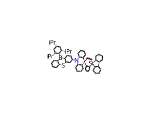 CC(C)c1cc(C(C)C)c(B2c3ccccc3Sc3cc(N4c5ccccc5C5(c6ccccc64)c4ccccc4[Si]4(c6ccccc6-c6ccccc64)c4ccccc45)ccc32)c(C(C)C)c1